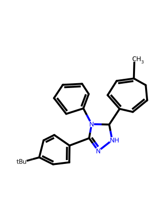 CC1=CC=C(C2NN=C(c3ccc(C(C)(C)C)cc3)N2c2ccccc2)C=CC1